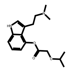 CC(C)OCC(=O)Oc1cccc2[nH]cc(CCN(C)C)c12